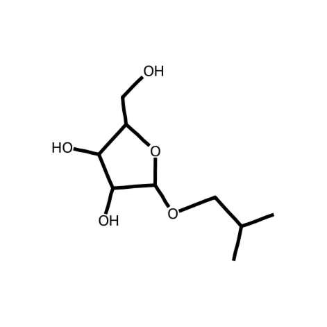 CC(C)COC1OC(CO)C(O)C1O